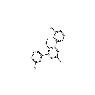 COc1c(-c2cccc(Cl)c2)cc(F)cc1-c1ccnc(Cl)c1